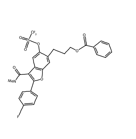 CNC(=O)c1c(-c2ccc(F)cc2)oc2cc(CCCOC(=O)c3ccccc3)c(OS(=O)(=O)C(F)(F)F)cc12